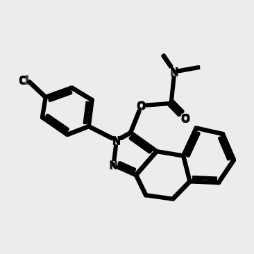 CN(C)C(=O)Oc1c2c(nn1-c1ccc(Cl)cc1)CCc1ccccc1-2